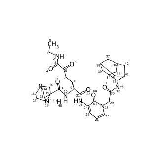 CCNC(=O)C(=O)CC[C@H](NC(=O)[C@@H]1CN2CCN1CC2)C(=O)Nc1cccn(CC(=O)NC2C3CC4CC(C3)CC2C4)c1=O